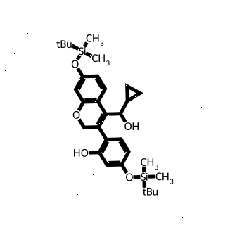 CC(C)(C)[Si](C)(C)Oc1ccc(C2=C(C(O)C3CC3)c3ccc(O[Si](C)(C)C(C)(C)C)cc3OC2)c(O)c1